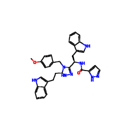 COc1ccc(CN2C([C@@H](Cc3c[nH]c4ccccc34)NC(=O)c3ccn[nH]3)=NNC2CCc2c[nH]c3ccccc23)cc1